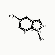 CC(C)(C)n1ncc2cc(N)cnc21